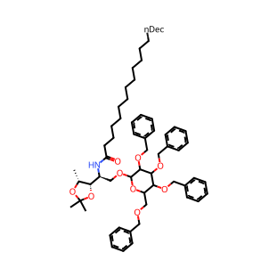 CCCCCCCCCCCCCCCCCCCCCCC(=O)N[C@@H](COC1OC(COCc2ccccc2)C(OCc2ccccc2)C(OCc2ccccc2)C1OCc1ccccc1)[C@@H]1OC(C)(C)O[C@@H]1C